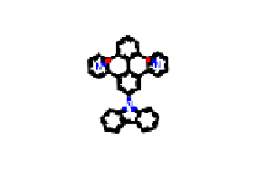 N#Cc1cccc(C#N)c1-c1c(-c2ccccc2)cc(-n2c3ccccc3c3ccccc32)cc1-c1ccccc1